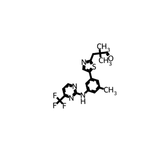 Cc1cc(Nc2nccc(C(F)(F)F)n2)cc(-c2cnc(CC(C)(C)C=O)s2)c1